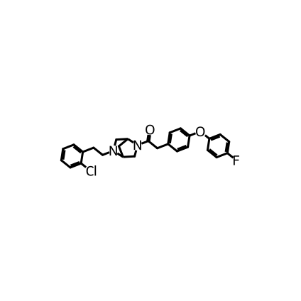 O=C(Cc1ccc(Oc2ccc(F)cc2)cc1)N1CC2CC1CN2CCc1ccccc1Cl